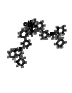 CC1=Cc2c(-c3cccc([PH2+]CC(c4ccccc4)c4ccccc4)c3)cccc2[CH]1[Zr]([Cl])([Cl])([I])([I])([CH]1C(C)=Cc2c(-c3cccc([PH2+]CC(c4ccccc4)c4ccccc4)c3)cccc21)[SiH](C)C